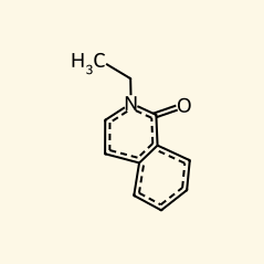 CCn1ccc2ccccc2c1=O